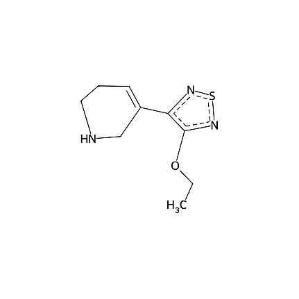 CCOc1nsnc1C1=CCCNC1